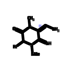 CCC1C(=O)N(C)/C(=C/N)C(=N)N1NC